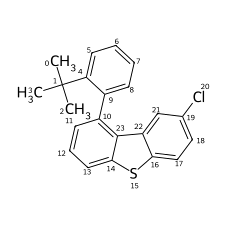 CC(C)(C)c1ccccc1-c1cccc2sc3ccc(Cl)cc3c12